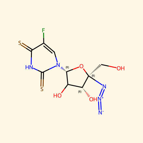 [N-]=[N+]=N[C@]1(CO)O[C@@H](n2cc(F)c(=S)[nH]c2=S)C(O)[C@H]1O